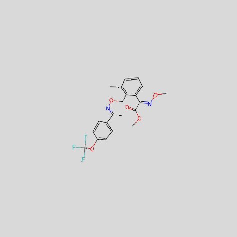 CO/N=C(/C(=O)OC)c1cccc(C)c1CO/N=C(\C)c1ccc(OC(F)(F)F)cc1